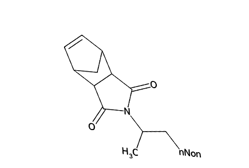 CCCCCCCCCCC(C)N1C(=O)C2C3C=CC(C3)C2C1=O